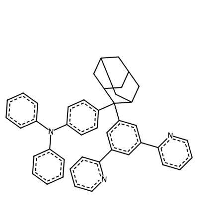 c1ccc(N(c2ccccc2)c2ccc(C3(c4cc(-c5ccccn5)cc(-c5ccccn5)c4)C4CC5CC(C4)CC3C5)cc2)cc1